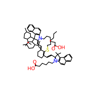 CCCCCCSC1=C(C=CC2=[N+](CCCCCC(=O)O)c3ccc4ccccc4c3C2(C)C)CCCC1=CC=C1N(CCCCCC(=O)O)c2ccc3ccccc3c2C1(C1CC(C)CCC1C(C)C)C1CC(C)CCC1C(C)C